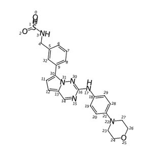 O=[SH](=O)NCc1cccc(-c2ccc3cnc(Nc4ccc(N5CCOCC5)cc4)nn23)c1